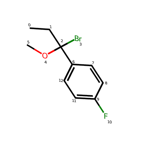 CCC(Br)(OC)c1ccc(F)cc1